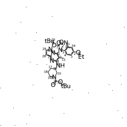 CCOc1ccc(N(C(=O)OC(C)(C)C)c2c(C)c(NC3CCCN(C(=O)OC(C)(C)C)C3)nc3ccnn23)c([N+](=O)[O-])c1